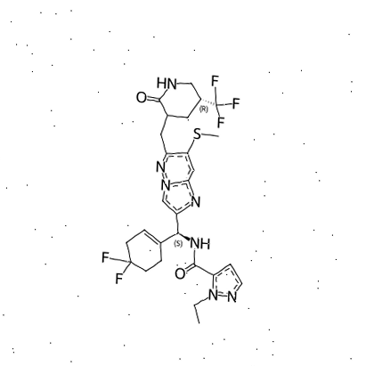 CCn1nccc1C(=O)N[C@@H](C1=CCC(F)(F)CC1)c1cn2nc(CC3C[C@@H](C(F)(F)F)CNC3=O)c(SC)cc2n1